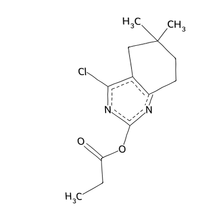 CCC(=O)Oc1nc(Cl)c2c(n1)CCC(C)(C)C2